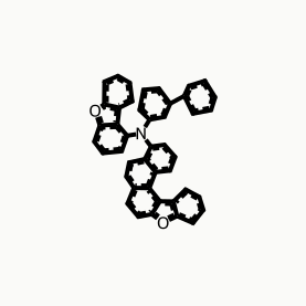 c1ccc(-c2cccc(N(c3cccc4c3ccc3ccc5oc6ccccc6c5c34)c3cccc4oc5ccccc5c34)c2)cc1